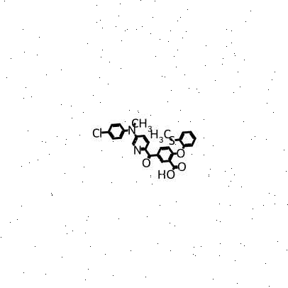 CSc1ccccc1Oc1ccc(C(=O)c2ccc(N(C)c3ccc(Cl)cc3)cn2)cc1C(=O)O